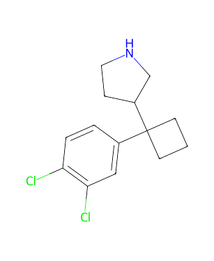 Clc1ccc(C2(C3CCNC3)CCC2)cc1Cl